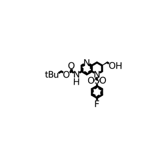 CC(C)(C)COC(=O)Nc1cnc2c(c1)N(S(=O)(=O)c1ccc(F)cc1)C[C@H](CO)C2